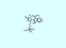 CC(C)=C1C(C2=C(CCCO[Si](C)(C)C)C=CC2)=[C]([Zr+2])c2ccccc21.[Cl-].[Cl-]